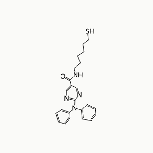 O=C(NCCCCCCS)c1cnc(N(c2ccccc2)c2ccccc2)nc1